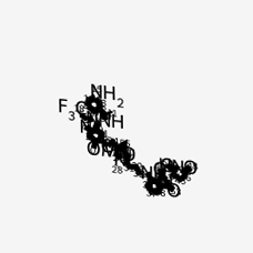 COc1cc2nc(C)nc(N[C@H](C)c3cc(N)cc(C(F)(F)F)c3)c2cc1OCC1(CN(C)C(=O)CCCNc2cccc3c2C(=O)N(C2CCC(=O)NC2=O)C3=O)CC1